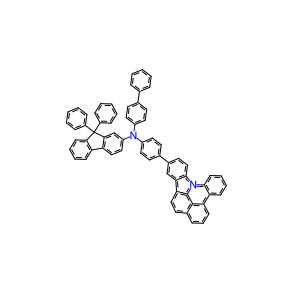 c1ccc(-c2ccc(N(c3ccc(-c4ccc5c(c4)c4ccc6cccc7c8ccccc8n5c4c67)cc3)c3ccc4c(c3)C(c3ccccc3)(c3ccccc3)c3ccccc3-4)cc2)cc1